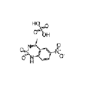 CC1=NS(=O)(=O)Nc2ccc([N+](=O)[O-])cc21.O=S(=O)(O)O